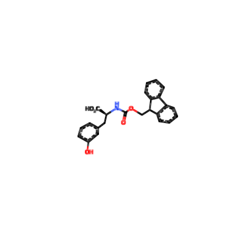 O=C(N[C@@H](Cc1cccc(O)c1)C(=O)O)OCC1c2ccccc2-c2ccccc21